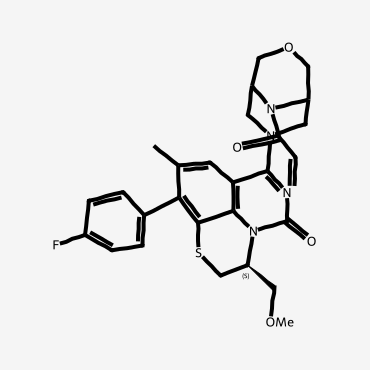 C=CC(=O)N1C2COCC1CN(c1nc(=O)n3c4c(c(-c5ccc(F)cc5)c(C)cc14)SC[C@@H]3COC)C2